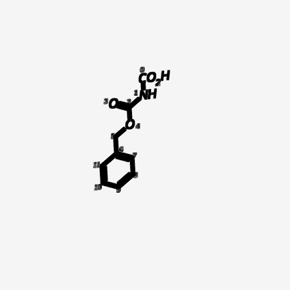 O=C(O)NC(=O)OCc1ccccc1